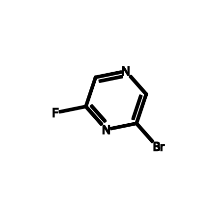 Fc1cncc(Br)n1